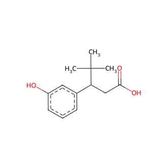 CC(C)(C)C(CC(=O)O)c1cccc(O)c1